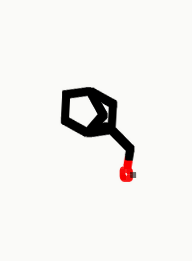 [O]CC1=C2CCC(C1)C2